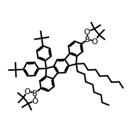 CCCCCCCCC1(CCCCCCCC)c2cc(B3OC(C)(C)C(C)(C)O3)ccc2-c2cc3c(cc21)-c1ccc(B2OC(C)(C)C(C)(C)O2)cc1C3(c1ccc(C(C)(C)C)cc1)c1ccc(C(C)(C)C)cc1